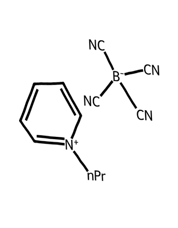 CCC[n+]1ccccc1.N#C[B-](C#N)(C#N)C#N